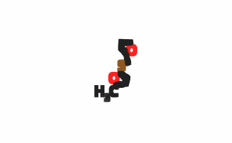 Cc1ccc(SCc2ccco2)o1